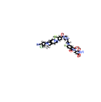 C[C@H]1CC2(CCN(c3ccc(C(=O)N4CCN(CC5CN(c6cc7c(cc6F)C(=O)N(C6CCC(=O)NC6=O)C7=O)C5)CC4)cc3F)CC2)CN1c1ccc(C#N)c(Cl)c1